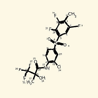 Cc1c(F)cc(S(=O)(=O)c2ccc(NC(=O)C(C)(O)C(F)(F)F)c(Cl)c2)c(F)c1F